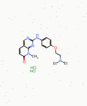 CCN(CC)CCOc1ccc(Nc2ncc3ccc(=O)n(C)c3n2)cc1.Cl.Cl